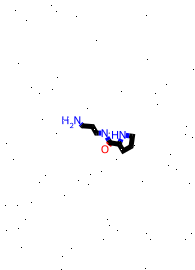 NCCC[N]C(=O)C1CCCN1